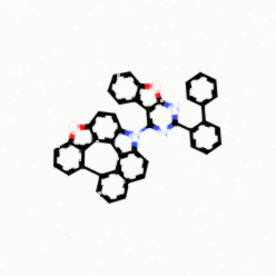 c1ccc(-c2ccccc2-c2nc(-n3c4ccc5cccc6c5c4c4c5c(ccc43)oc3cccc-6c35)c3c(n2)oc2ccccc23)cc1